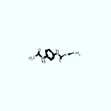 CC#[N+]C(=S)Nc1ccc(NC(C)=O)cc1